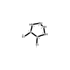 CCB1NBNBN1CC